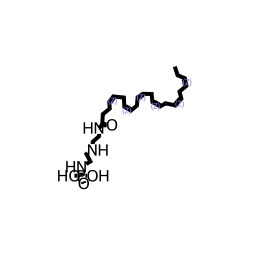 CC/C=C\C/C=C\C/C=C\C/C=C\C/C=C\C/C=C\CCC(=O)NCCNCCNP(=O)(O)O